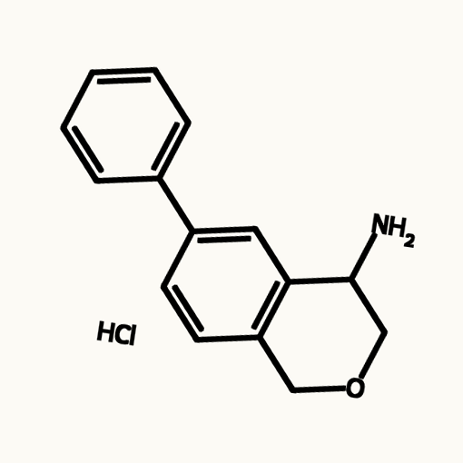 Cl.NC1COCc2ccc(-c3ccccc3)cc21